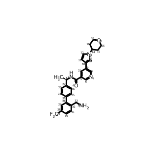 C[C@@H](NC(=O)c1cncc(-c2ccn(C3CCOCC3)n2)c1)c1ccc(-c2cc(C(F)(F)F)ccc2CN)cc1